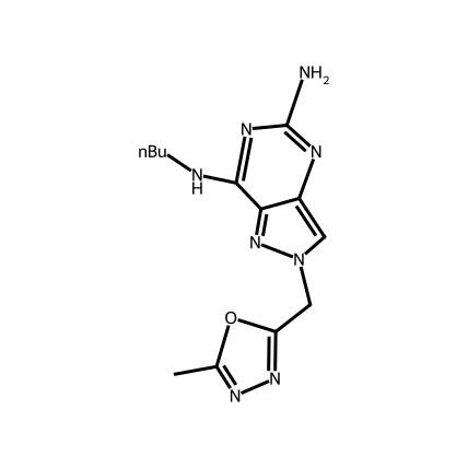 CCCCNc1nc(N)nc2cn(Cc3nnc(C)o3)nc12